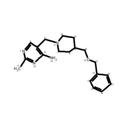 Cc1ncc(CN2CCC(COCc3ccccc3)CC2)c(N)n1